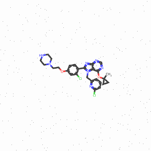 CC1(Oc2ncnc3nc(-c4ccc(OCCN5CCNCC5)cc4Cl)n(Cc4cccc(Cl)n4)c23)CC1